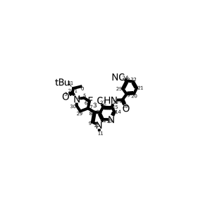 C[C@H](C(=O)N1CCC(c2cn(C)c3ncc(NC(=O)c4cccc(C#N)c4)c(C(F)(F)F)c23)CC1)C(C)(C)C